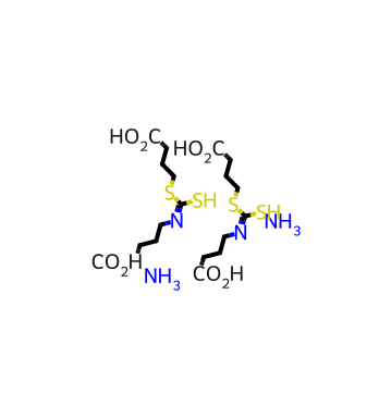 N.N.O=C(O)CCCN=C(S)SCCCC(=O)O.O=C(O)CCCN=C(S)SCCCC(=O)O